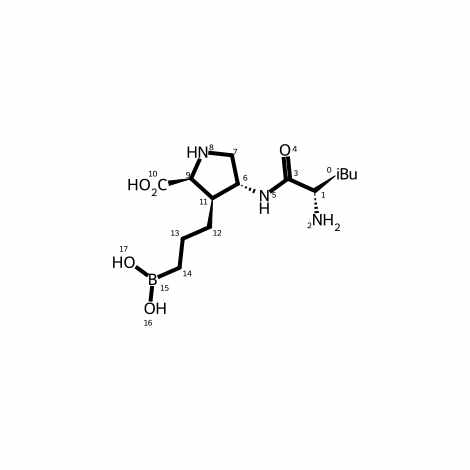 CC[C@H](C)[C@H](N)C(=O)N[C@H]1CN[C@H](C(=O)O)[C@@H]1CCCB(O)O